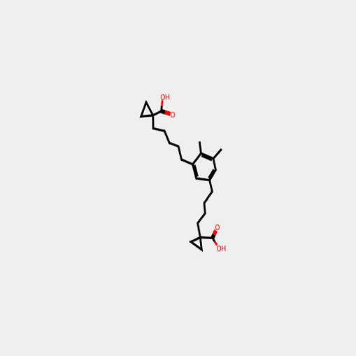 Cc1cc(CCCCC2(C(=O)O)CC2)cc(CCCCCC2(C(=O)O)CC2)c1C